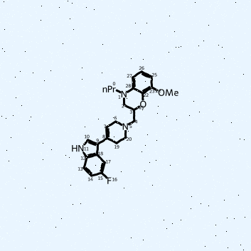 CCCN1CC(CN2CC=C(c3c[nH]c4ccc(F)cc34)CC2)Oc2c(OC)cccc21